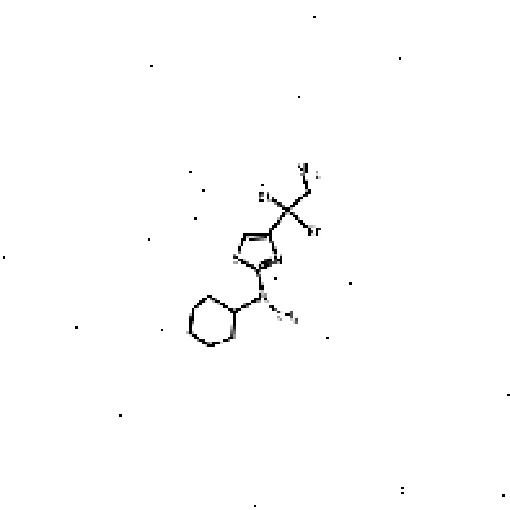 CCC(CC)(CN)c1csc(N(C)C2CCCCC2)n1